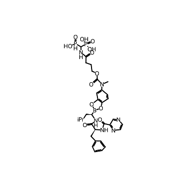 CC(C)C[C@H](NC(=O)[C@H](Cc1ccccc1)NC(=O)c1cnccn1)B1Oc2ccc(N(C)C(=O)OCCCC(=O)NC([PH](=O)O)P(=O)(O)O)cc2O1